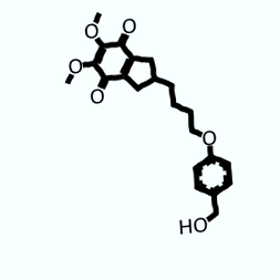 COC1=C(OC)C(=O)C2=C(CC(CCCCOc3ccc(CO)cc3)C2)C1=O